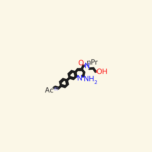 CCCN(CCCO)C(=O)C1=Cc2ccc(-c3ccc(/C=C/C(C)=O)cc3)cc2N=C(N)C1